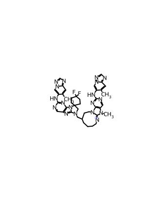 Cc1cc2ncnn2cc1Nc1ncc2c(n1)N1CCC(CN3CC4(CCC(F)(F)CC4)n4c3nc3cnc(Nc5cn6ncnc6cc5C)nc34)CCCC/N=C\1N2C